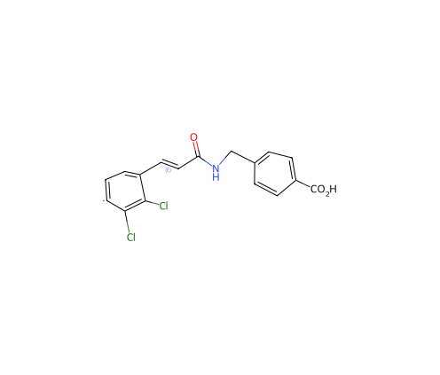 O=C(/C=C/c1cc[c]c(Cl)c1Cl)NCc1ccc(C(=O)O)cc1